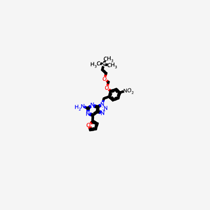 C[Si](C)(C)CCOCOc1cc([N+](=O)[O-])ccc1Cn1nnc2c(-c3ccco3)nc(N)nc21